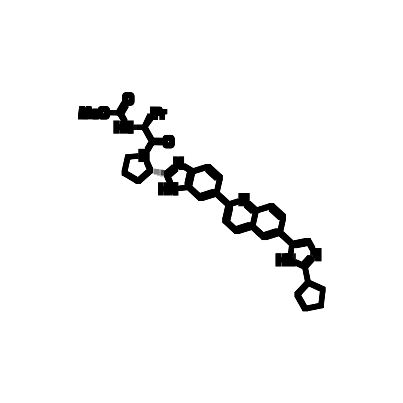 COC(=O)N[C@H](C(=O)N1CCC[C@H]1c1nc2ccc(-c3ccc4cc(-c5cnc(C6CCCC6)[nH]5)ccc4n3)cc2[nH]1)C(C)C